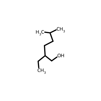 CCC(CO)CCC(C)C